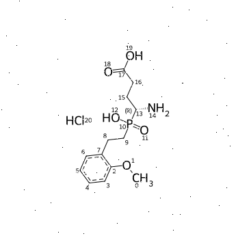 COc1ccccc1CCP(=O)(O)[C@@H](N)CCC(=O)O.Cl